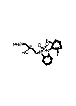 CNC[C@H](O)CCN1c2ccccc2N(c2c(F)cccc2F)S1(=O)=O